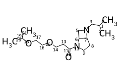 CC(C)CN1CC2C1CCN2C(=O)CCOCCOC(C)C